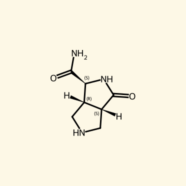 NC(=O)[C@H]1NC(=O)[C@@H]2CNC[C@H]12